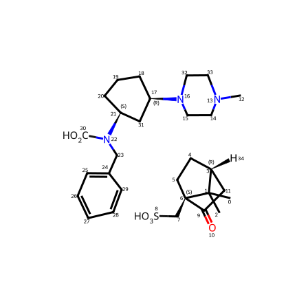 CC1(C)[C@@H]2CC[C@@]1(CS(=O)(=O)O)C(=O)C2.CN1CCN([C@@H]2CCC[C@H](N(Cc3ccccc3)C(=O)O)C2)CC1